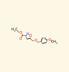 CCOC(=O)c1cc(COCc2ccc(OC)cc2)on1